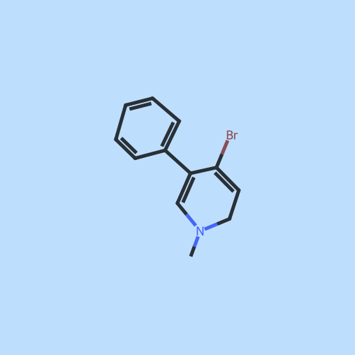 CN1C=C(c2ccccc2)C(Br)=CC1